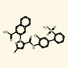 Cc1cc(C(=O)Nc2ccc(-c3ccccc3S(N)(=O)=O)cc2Cl)n(-c2cc3ccccc3cc2C(=O)O)n1